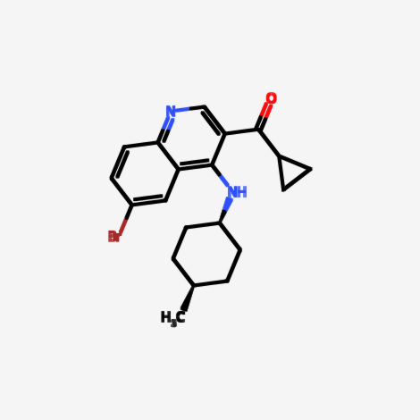 C[C@H]1CC[C@@H](Nc2c(C(=O)C3CC3)cnc3ccc(Br)cc23)CC1